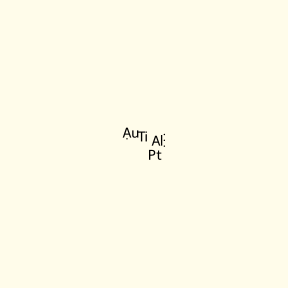 [Al].[Au].[Pt].[Ti]